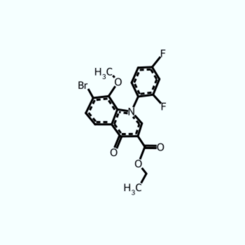 CCOC(=O)c1cn(-c2ccc(F)cc2F)c2c(OC)c(Br)ccc2c1=O